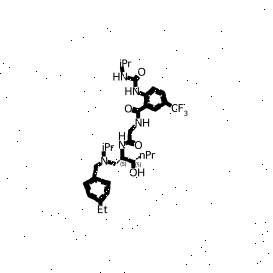 CCC[C@H](O)[C@H](CN(Cc1ccc(CC)cc1)C(C)C)NC(=O)CNC(=O)c1cc(C(F)(F)F)ccc1NC(=O)NC(C)C